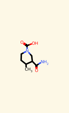 CC1CCN(C(=O)O)CC1C(N)=O